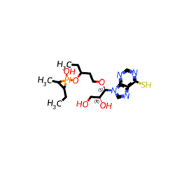 CCC(CCO[C@@H]([C@H](O)CO)n1cnc2c(S)ncnc21)O[PH]1(O)C(C)C1CC